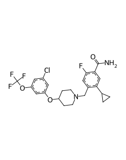 NC(=O)c1cc(C2CC2)c(CN2CCC(Oc3cc(Cl)cc(OC(F)(F)F)c3)CC2)cc1F